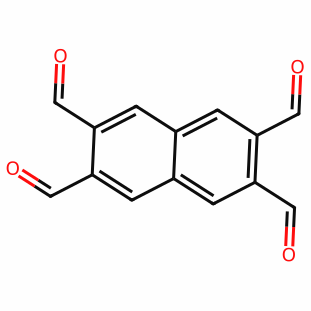 O=Cc1cc2cc(C=O)c(C=O)cc2cc1C=O